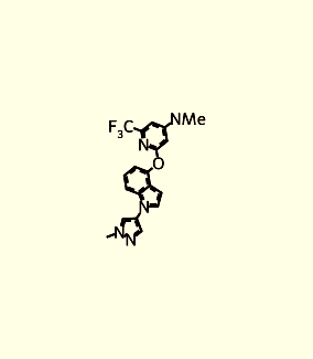 CNc1cc(Oc2cccc3c2ccn3-c2cnn(C)c2)nc(C(F)(F)F)c1